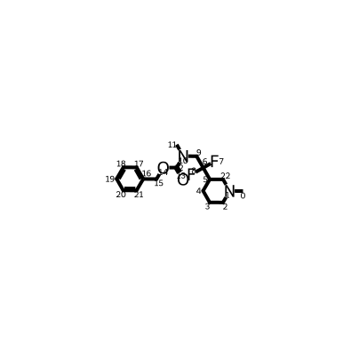 CN1CCCC(C(F)(F)CN(C)C(=O)OCc2ccccc2)C1